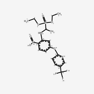 CCOP(=O)(OCC)C(C)Nc1cc(Oc2ccc(C(F)(F)F)cn2)ccc1[N+](=O)[O-]